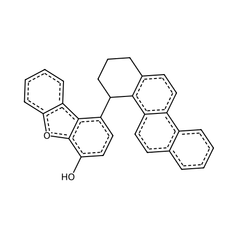 Oc1ccc(C2CCCc3ccc4c(ccc5ccccc54)c32)c2c1oc1ccccc12